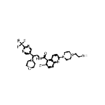 O=C(NCC(c1cnc(C(F)(F)F)nc1)N1CCOCC1)c1c(Cl)ccc2nc(N3CCN(CCO)CC3)ccc12